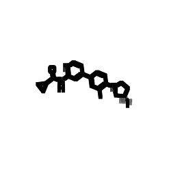 Cc1cc(-c2ccnc(NC(=O)C3CC3)c2)ccc1N1CC[C@H](F)C1